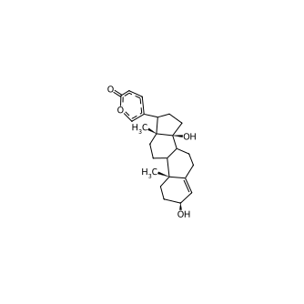 C[C@]12CC[C@H](O)C=C1CCC1C2CC[C@]2(C)C(c3ccc(=O)oc3)CC[C@]12O